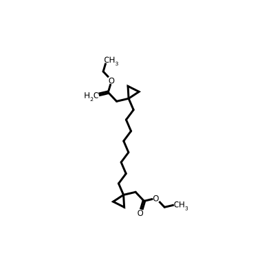 C=C(CC1(CCCCCCCCC2(CC(=O)OCC)CC2)CC1)OCC